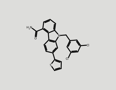 NC(=O)c1cccc2c1c1[c]cc(-c3cccs3)cc1n2Cc1cc(Cl)cc(Cl)c1